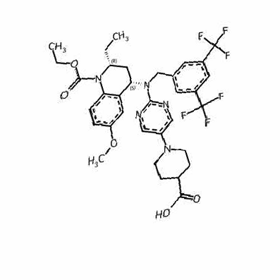 CCOC(=O)N1c2ccc(OC)cc2[C@@H](N(Cc2cc(C(F)(F)F)cc(C(F)(F)F)c2)c2ncc(N3CCC(C(=O)O)CC3)cn2)C[C@H]1CC